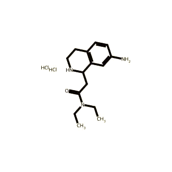 CCN(CC)C(=O)CC1NCCc2ccc(N)cc21.Cl.Cl